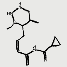 C=C(/C=C\C[C@@H]1C(C)CNNN1C)NC(=O)C1CC1